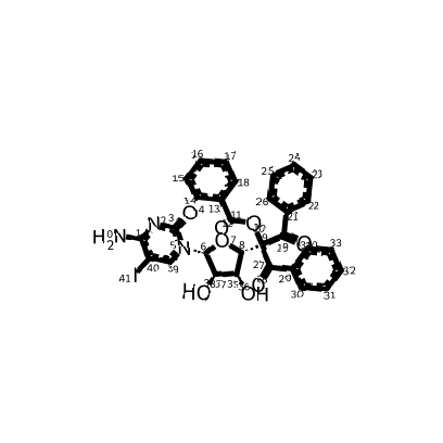 Nc1nc(=O)n([C@@H]2O[C@H](C(OC(=O)c3ccccc3)(C(=O)c3ccccc3)C(=O)c3ccccc3)[C@@H](O)[C@H]2O)cc1I